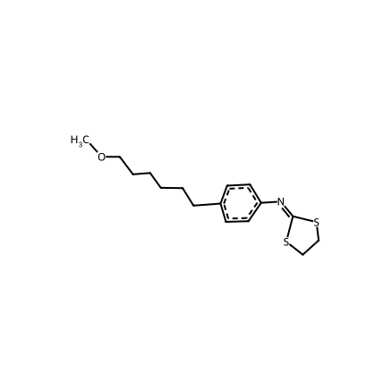 COCCCCCCc1ccc(N=C2SCCS2)cc1